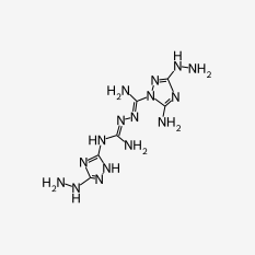 NNc1n[nH]c(N/C(N)=N/N=C(\N)n2nc(NN)nc2N)n1